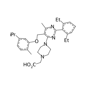 CCc1cccc(CC)c1-c1nc(C)c(COc2cc(C(C)C)ccc2C)c(N2CCN(CC(=O)O)CC2)n1